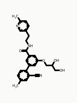 Cc1ccc(-c2cc(OCC(O)CO)cc(C(=O)NCCc3ccc(C)nc3)c2)c(C#N)c1